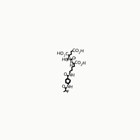 CC(F)C(=O)Nc1ccc(C(=O)NCCCCC(NC(=O)N(O)C(CCC(=O)O)C(=O)O)C(=O)O)cc1